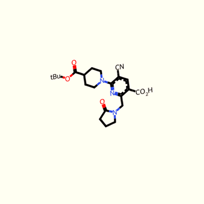 CC(C)(C)OC(=O)C1CCN(c2nc(CN3CCCC3=O)c(C(=O)O)cc2C#N)CC1